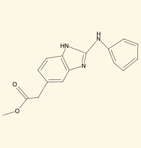 COC(=O)Cc1ccc2[nH]c(Nc3ccccc3)nc2c1